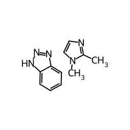 Cc1nccn1C.c1ccc2[nH]nnc2c1